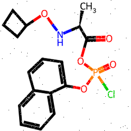 C[C@H](NOC1CCC1)C(=O)OP(=O)(Cl)Oc1cccc2ccccc12